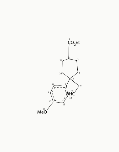 CCOC(=O)C1CCC(CC=O)(c2ccc(OC)cc2)CC1